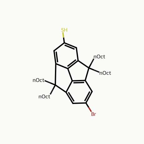 CCCCCCCCC1(CCCCCCCC)c2cc(S)cc3c2-c2c1cc(Br)cc2C3(CCCCCCCC)CCCCCCCC